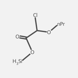 CCCOC(Cl)C(=O)O[SiH3]